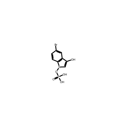 O=P(O)(O)On1cc(O)c2cc(Br)ccc21